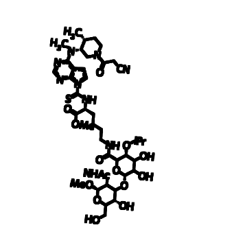 COC(=O)[C@H](CCCCNC(=O)C1O[C@@H](OC2C(NC(C)=O)[C@H](OC)OC(CO)[C@H]2O)C(O)C(O)[C@@H]1OC(C)C)NC(=S)n1ccc2c(N(C)[C@H]3CN(C(=O)CC#N)CC[C@H]3C)ncnc21